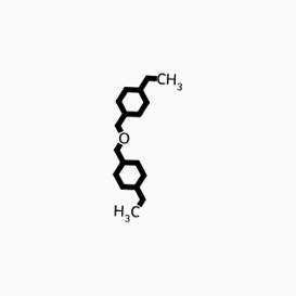 CCC1CCC(COCC2CCC(CC)CC2)CC1